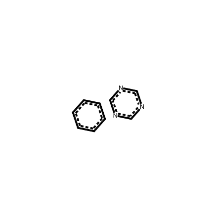 c1ccccc1.c1ncncn1